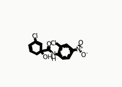 O=C(Nc1ccc([N+](=O)[O-])cc1Cl)C1(O)C=C(Cl)C=CC1